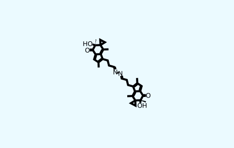 CC1=C(CC/C=N/N=C/CCC2=C(C)C=C3C(=O)[C@@](C)(O)C4(CC4)C(C)=C32)C2=C(C)C3(CC3)[C@@](C)(O)C(=O)C2=C1